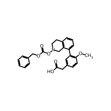 COc1ccc(CC(=O)O)cc1-c1cccc2c1CN(OC(=O)OCc1ccccc1)CC2